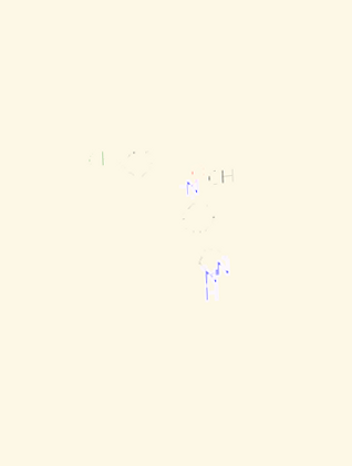 CON(CCc1ccc(Cl)cc1)c1ccc(-c2cn[nH]c2)cc1